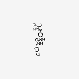 C[C@H](NC(=O)C1CCC1)c1ccc(NC(=O)NCc2ccc(Cl)cc2)cc1